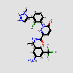 C[C@@H](NC(=O)c1ccc(=O)n(-c2cccc(-c3cnnn3C)c2F)n1)c1cc(N)cc(C(F)(F)F)c1